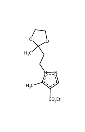 CCOC(=O)c1cnn(CCC2(C)OCCO2)c1C